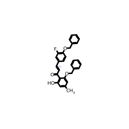 Cc1cc(O)c(C(=O)/C=C/c2ccc(OCc3ccccc3)c(F)c2)c(OCc2ccccc2)c1